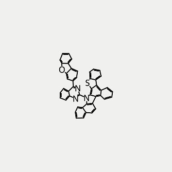 c1ccc2c(c1)ccc1c3c4ccccc4c4c5ccccc5sc4c3n(-c3nc(-c4ccc5c(c4)oc4ccccc45)c4ccccc4n3)c21